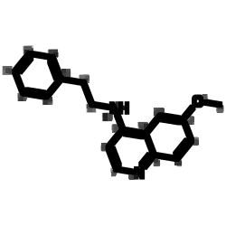 COc1ccc2nccc(NCCc3ccccc3)c2c1